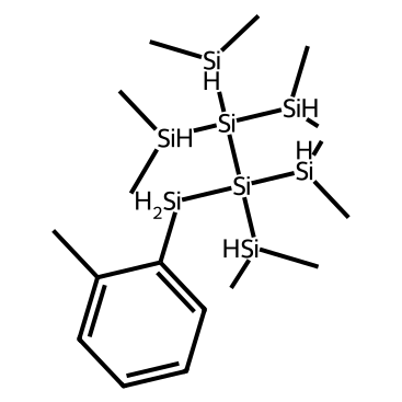 Cc1ccccc1[SiH2][Si]([SiH](C)C)([SiH](C)C)[Si]([SiH](C)C)([SiH](C)C)[SiH](C)C